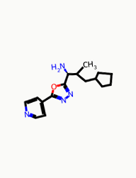 CC(CC1CCCC1)[C@H](N)c1nnc(-c2ccncc2)o1